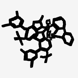 CC1=Cc2c(ccc(C(C)(C)C)c2-c2cc(C)cc(C)c2)[CH]1[Zr]([Cl])([Cl])([c]1cccc2c1[SiH2]c1ccccc1-2)[CH]1C(C)=Cc2c1ccc(C(C)(C)C)c2-c1cc(C)cc(C)c1